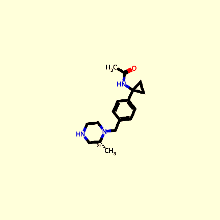 CC(=O)NC1(c2ccc(CN3CCNC[C@H]3C)cc2)CC1